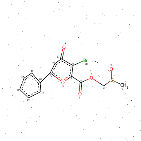 C[S+]([O-])COC(=O)c1oc(-c2ccccc2)cc(=O)c1Br